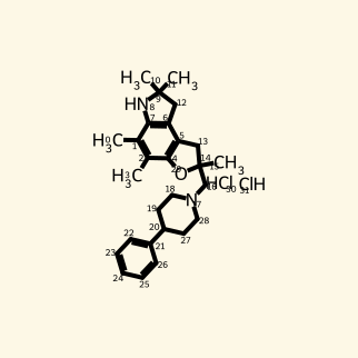 Cc1c(C)c2c(c3c1NC(C)(C)C3)CC(C)(CN1CCC(c3ccccc3)CC1)O2.Cl.Cl